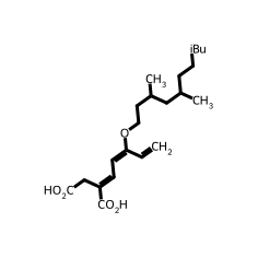 C=C/C(=C\C=C(/CC(=O)O)C(=O)O)OCCC(C)CC(C)CCC(C)CC